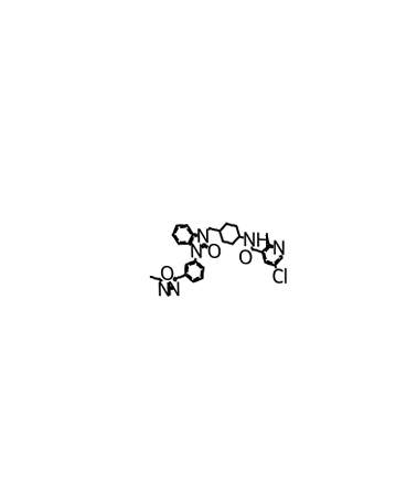 Cc1nnc(-c2cccc(-n3c(=O)n(CC4CCC(NC(=O)c5cc(Cl)cnc5C)CC4)c4ccccc43)c2)o1